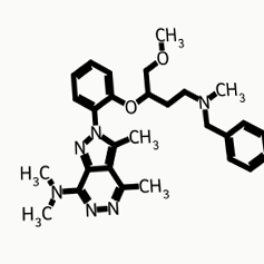 COCC(CCN(C)Cc1ccccc1)Oc1ccccc1-n1nc2c(N(C)C)nnc(C)c2c1C